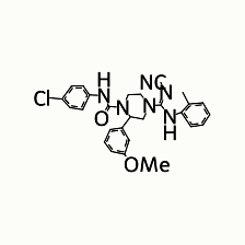 COc1cccc(C2CN(/C(=N\C#N)Nc3ccccc3C)CCN2C(=O)Nc2ccc(Cl)cc2)c1